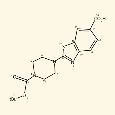 CC(C)(C)OC(=O)N1CCN(c2nc3ccc(C(=O)O)cc3s2)CC1